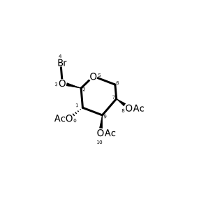 CC(=O)O[C@@H]1[C@@H](OBr)OC[C@@H](OC(C)=O)[C@H]1OC(C)=O